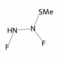 CSN(F)NF